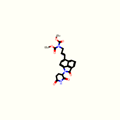 CC(C)(C)OC(=O)N(C/C=C/c1ccc2c3c(cccc13)C(=O)N2C1CCC(=O)NC1=O)C(=O)OC(C)(C)C